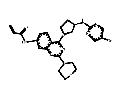 C=CC(=O)Nc1ccc2c(N3CC[C@@H](Nc4ncc(Br)cn4)C3)nc(N3CCOCC3)nc2c1